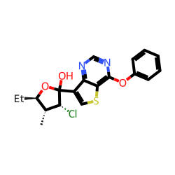 CC[C@H]1OC(O)(c2csc3c(Oc4ccccc4)ncnc23)[C@H](Cl)[C@@H]1C